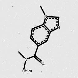 CCCCCCN(C)C(=O)c1ccc2c(c1)ncn2C